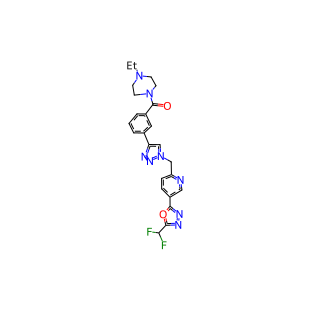 CCN1CCN(C(=O)c2cccc(-c3cn(Cc4ccc(-c5nnc(C(F)F)o5)cn4)nn3)c2)CC1